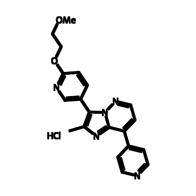 COCCOc1ccc(-c2c(C)nc3c(-c4ccncc4)ccnn23)cn1.Cl